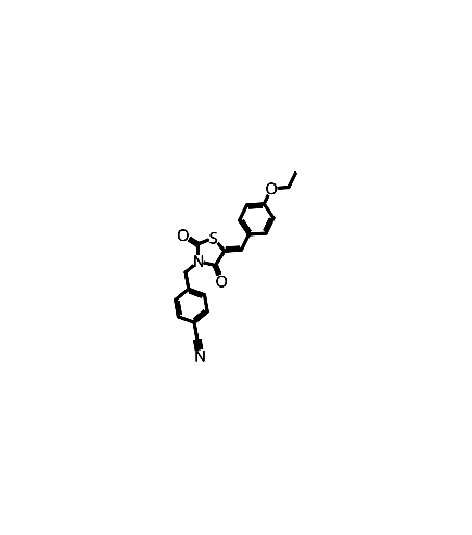 CCOc1ccc(/C=C2\SC(=O)N(Cc3ccc(C#N)cc3)C2=O)cc1